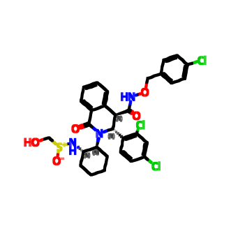 O=C(NOCc1ccc(Cl)cc1)[C@@H]1c2ccccc2C(=O)N([C@H]2CCCC[C@@H]2N[S+]([O-])CO)[C@H]1c1ccc(Cl)cc1Cl